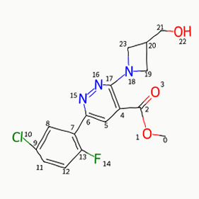 COC(=O)c1cc(-c2cc(Cl)ccc2F)nnc1N1CC(CO)C1